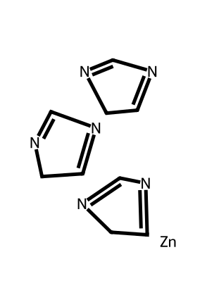 C1=NC=NC1.C1=NC=NC1.C1=NC=NC1.[Zn]